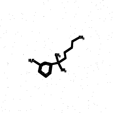 BC(C)(CCCCC)c1cccc(C)c1